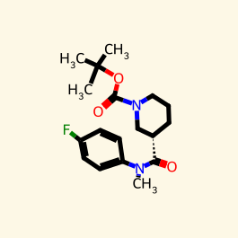 CN(C(=O)[C@H]1CCCN(C(=O)OC(C)(C)C)C1)c1ccc(F)cc1